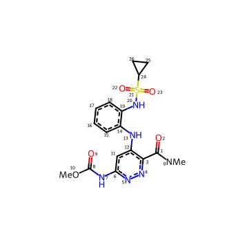 CNC(=O)c1nnc(NC(=O)OC)cc1Nc1ccccc1NS(=O)(=O)C1CC1